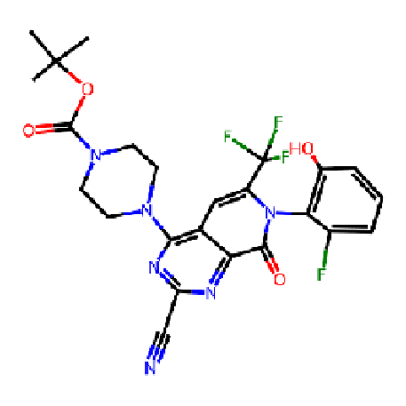 CC(C)(C)OC(=O)N1CCN(c2nc(C#N)nc3c(=O)n(-c4c(O)cccc4F)c(C(F)(F)F)cc23)CC1